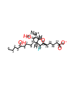 CCCCC(O)CCC[C@@H]1[C@H]2[C@H](F)/C(=C/CCCC(=O)[O-])O[C@@H]2C[C@H]1O.[Na+]